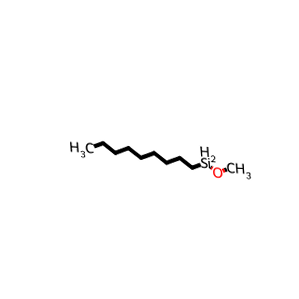 CCCCCCCCC[SiH2]OC